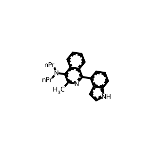 CCCN(CCC)c1c(C)nc(-c2cccc3[nH]ccc23)c2ccccc12